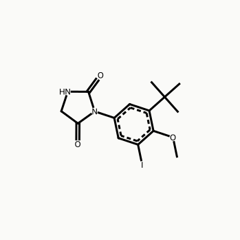 COc1c(I)cc(N2C(=O)CNC2=O)cc1C(C)(C)C